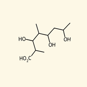 CC(O)CC(O)C(C)C(O)C(C)C(=O)O